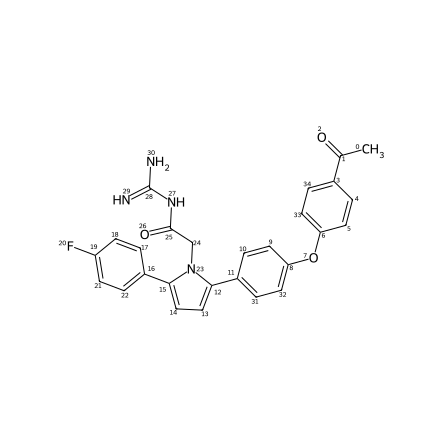 CC(=O)c1ccc(Oc2ccc(-c3ccc(-c4ccc(F)cc4)n3CC(=O)NC(=N)N)cc2)cc1